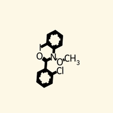 CON(C(=O)c1ccccc1Cl)c1ccccc1I